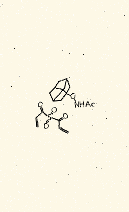 C=CC(=O)S(=O)(=O)C(=O)C=C.CC(=O)NOC12CC3CC(CC(C3)C1)C2